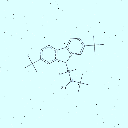 CC(C)(C)c1ccc2c(c1)C([Si](C)(C)[N]([Zn])C(C)(C)C)c1cc(C(C)(C)C)ccc1-2